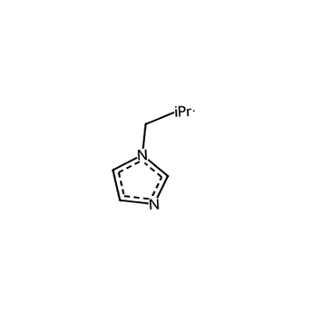 C[C](C)Cn1ccnc1